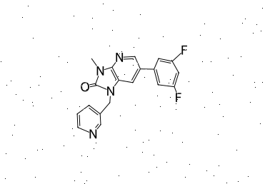 Cn1c(=O)n(Cc2cccnc2)c2cc(-c3cc(F)cc(F)c3)cnc21